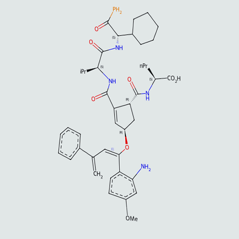 C=C(/C=C(/O[C@H]1C=C(C(=O)N[C@H](C(=O)N[C@H](C(=O)P)C2CCCCC2)C(C)C)[C@H](C(=O)N[C@@H](CCC)C(=O)O)C1)c1ccc(OC)cc1N)c1ccccc1